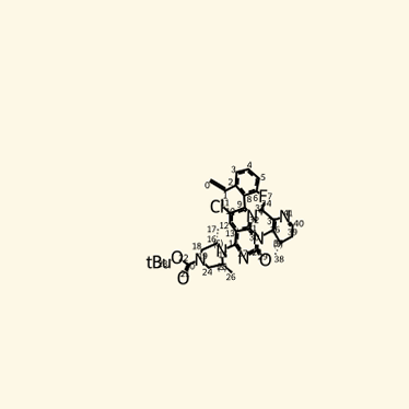 C=Cc1cccc(F)c1-c1c(Cl)cc2c(N3[C@@H](C)CN(C(=O)OC(C)(C)C)C[C@@H]3C)nc(=O)n3c2[n+]1C(C)C1=C3[C@@H](C)CC=N1